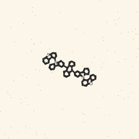 c1ccc2c(c1)oc1cccc(-n3c4ccccc4c4cc(-c5c6ccccc6c(-c6ccc7c(c6)c6ccccc6n7-c6cccc7sc8ccccc8c67)c6ccccc56)ccc43)c12